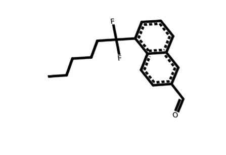 CCCCCC(F)(F)c1cccc2cc(C=O)ccc12